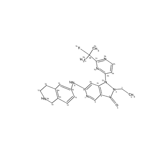 CCn1c(=O)c2cnc(Nc3ccc4c(c3)CCNC4)cc2n1-c1ccnc(C(C)(C)F)n1